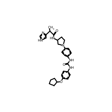 CC(C(=O)NC1CCN(c2ccc(NC(=O)Nc3ccc(OC4CCCC4)cc3)cc2)C1)c1c[nH]cn1